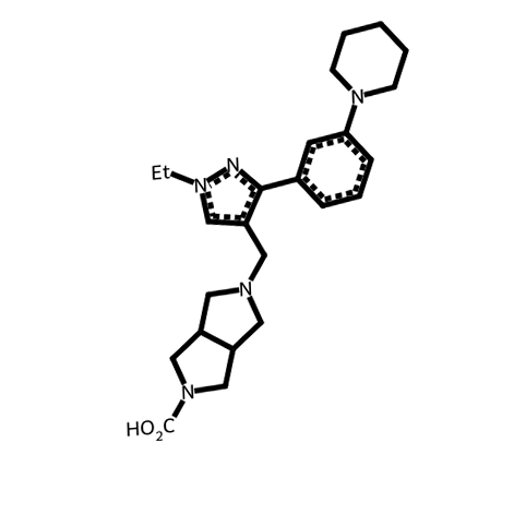 CCn1cc(CN2CC3CN(C(=O)O)CC3C2)c(-c2cccc(N3CCCCC3)c2)n1